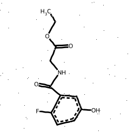 CCOC(=O)CNC(=O)c1cc(O)ccc1F